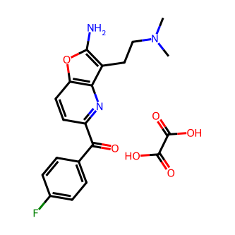 CN(C)CCc1c(N)oc2ccc(C(=O)c3ccc(F)cc3)nc12.O=C(O)C(=O)O